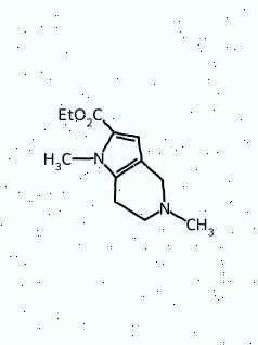 CCOC(=O)c1cc2c(n1C)CCN(C)C2